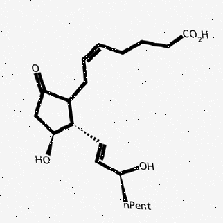 CCCCC[C@H](O)/C=C/[C@H]1C(C/C=C\CCCC(=O)O)C(=O)C[C@@H]1O